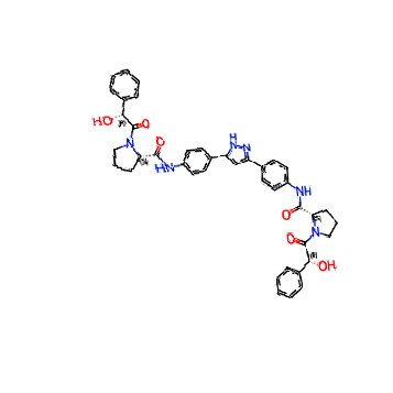 O=C(Nc1ccc(-c2cc(-c3ccc(NC(=O)[C@@H]4CCCN4C(=O)[C@H](O)c4ccccc4)cc3)[nH]n2)cc1)[C@@H]1CCCN1C(=O)[C@H](O)c1ccccc1